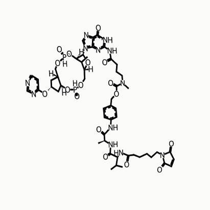 CC(C)[C@H](NC(=O)CCCCCN1C(=O)C=CC1=O)C(=O)N[C@@H](C)C(=O)Nc1ccc(COC(=O)N(C)CCCC(=O)Nc2nc3c(ncn3[C@@H]3O[C@@H]4CO[PH](=O)O[C@H]5C[C@H](Oc6ccncn6)C[C@@H]5CO[PH](=O)O[C@@H]3C4C)c(=O)[nH]2)cc1